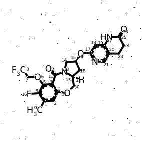 Cc1cc2c(c(OCC(F)(F)F)c1F)C(=O)N1C[C@@H](Oc3cc4c(cn3)CCC(=O)N4)C[C@@H]1CO2